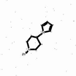 CC(C)N1CCC(n2cccc2)CC1